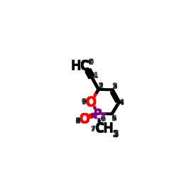 C#CC1C=CCP(C)(=O)O1